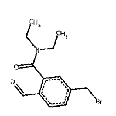 CCN(CC)C(=O)c1cc(CBr)ccc1C=O